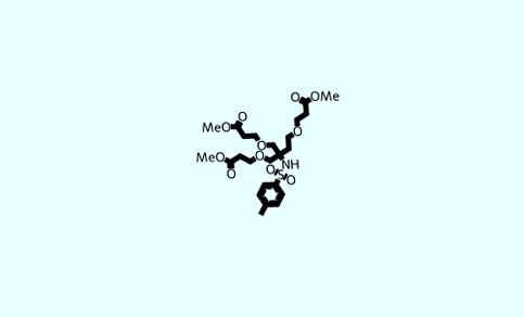 COC(=O)CCOCCC(COCCC(=O)OC)(COCCC(=O)OC)NS(=O)(=O)c1ccc(C)cc1